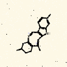 C/C1=C\c2[nH]c3cc(C)ccc3c2/C=N\C2=C1CCC(C)C2